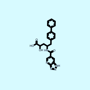 O=C(NC(Cc1ccc(-c2ccccc2)cc1)CC(O)C(=O)O)c1cnc2nn[nH]c2c1